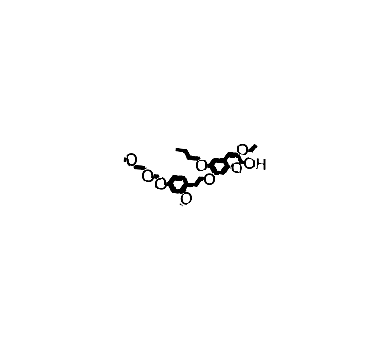 CCCCOc1cc(/C=C(/OCC)C(=O)O)ccc1OCCc1ccc(OCOCCOC)cc1OC